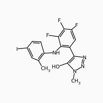 Cc1cc(I)ccc1Nc1c(-c2nnn(C)c2O)cc(F)c(F)c1F